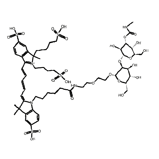 CNC(=O)O[C@H]1[C@H](O)[C@@H](O[C@@H]2[C@@H](OCCOCCNC(=O)CCCCCN3\C(=C/C=C/C=C/C4=[N+](CCCCS(=O)(=O)O)C(C)(CCCCS(=O)(=O)O)c5cc(S(=O)(=O)O)ccc54)C(C)(C)c4cc(S(=O)(=O)O)ccc43)O[C@@H](CO)[C@@H](O)[C@@H]2O)O[C@H](CO)[C@H]1O